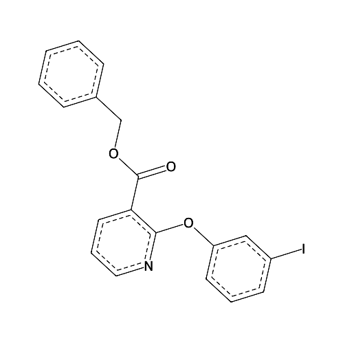 O=C(OCc1ccccc1)c1cccnc1Oc1cccc(I)c1